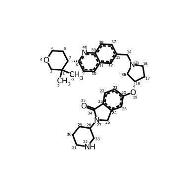 CC1(C)COCC[C@@H]1c1ccc2cc(CN3CC[C@H](Oc4ccc5c(c4)CN(C4CCCNC4)C5=O)C3)ccc2n1